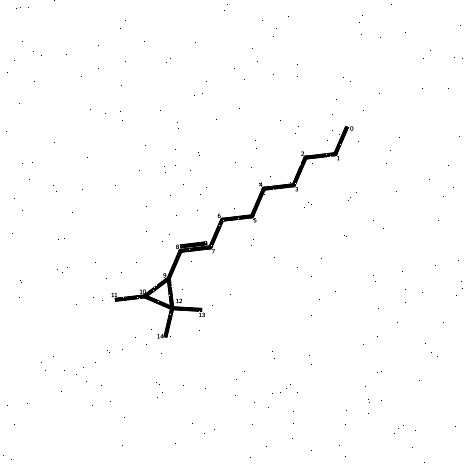 CCCCCCCC=CC1C(C)C1(C)C